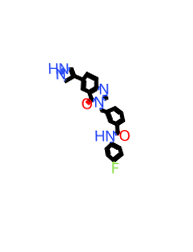 O=C(Nc1ccc(F)cc1)c1cccc(Cn2cnc3ccc(-c4cn[nH]c4)cc3c2=O)c1